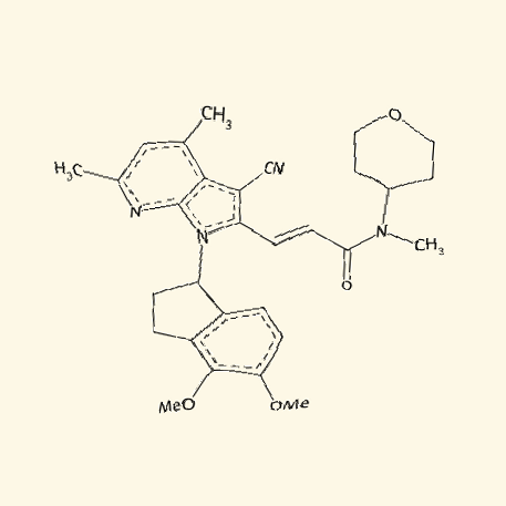 COc1ccc2c(c1OC)CCC2n1c(C=CC(=O)N(C)C2CCOCC2)c(C#N)c2c(C)cc(C)nc21